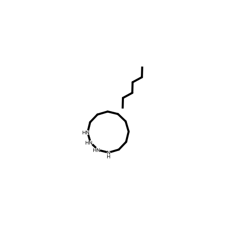 C1CCCCNNNNCCC1.CCCCCC